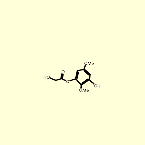 COc1cc(O)c(OC)c(OC(=O)CO)c1